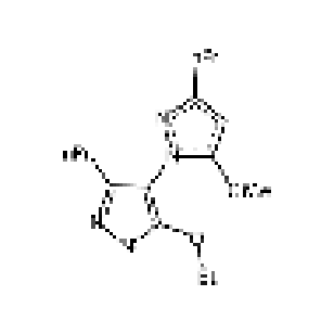 CCCC1=N[N]C(OCC)=C1n1nc(CCC)cc1OC